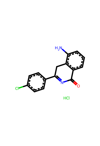 Cl.Nc1cccc2c1CC(c1ccc(Cl)cc1)=NC2=O